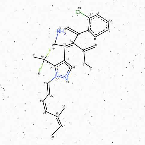 C=C(CC)/C(C(=C)c1ccccc1Cl)=C(/CN)c1cnn(/C=C/C=C\C(C)=C/C)c1C(C)(F)F